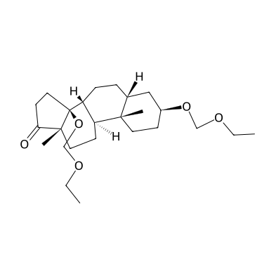 CCOCO[C@H]1CC[C@@]2(C)[C@H](CC[C@@H]3[C@@H]2CC[C@]2(C)C(=O)CC[C@]32OCOCC)C1